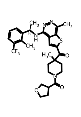 Cc1c([C@@H](C)Nc2nnc(C)c3sc(C(=O)C4(C)CCN(C(=O)C5CCOC5)CC4)cc23)cccc1C(F)(F)F